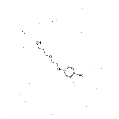 CC(=O)c1ccc(OCCOCCCO)cc1